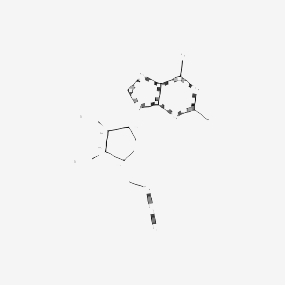 CC(=O)O[C@@H]1[C@H](OC(C)=O)[C@@H](CN=[N+]=[N-])O[C@H]1n1cnc2c(N)nc(F)nc21